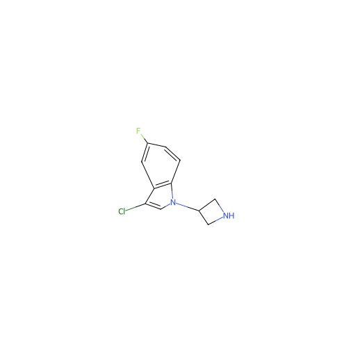 Fc1ccc2c(c1)c(Cl)cn2C1CNC1